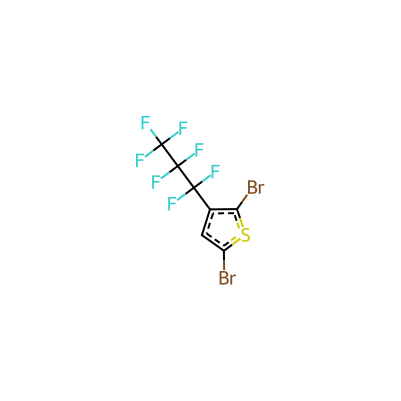 FC(F)(F)C(F)(F)C(F)(F)c1cc(Br)sc1Br